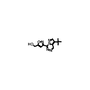 CC(C)(C)c1[c]nn2c(-c3cc(CO)on3)nncc12